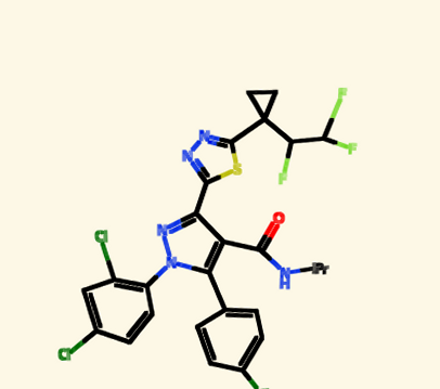 CC(C)NC(=O)c1c(-c2nnc(C3(C(F)C(F)F)CC3)s2)nn(-c2ccc(Cl)cc2Cl)c1-c1ccc(Cl)cc1